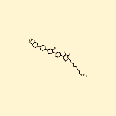 C=CC1CCC(C2CCC(c3ccc(-c4ccc(-c5ccc(CCCCCCCCC)c(F)c5F)cc4)c(F)c3)CC2)CC1